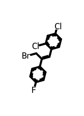 Fc1ccc(C(=Cc2ccc(Cl)cc2Cl)CBr)cc1